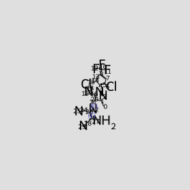 Cc1nn(-c2c(Cl)cc(C(F)(F)F)cc2Cl)c(N(C)C)c1/C=N/C(C#N)=C(\N)C#N